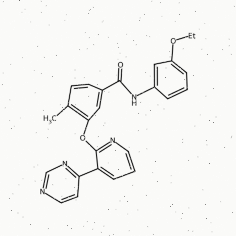 CCOc1cccc(NC(=O)c2ccc(C)c(Oc3ncccc3-c3ccncn3)c2)c1